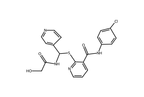 O=C(CO)NC(Sc1ncccc1C(=O)Nc1ccc(Cl)cc1)c1ccncc1